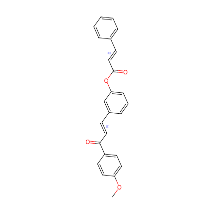 COc1ccc(C(=O)/C=C/c2cccc(OC(=O)/C=C/c3ccccc3)c2)cc1